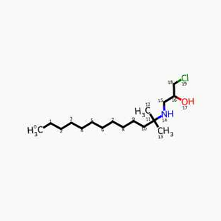 CCCCCCCCCCCC(C)(C)NCC(O)CCl